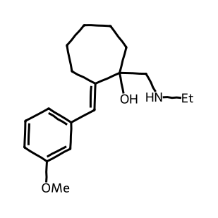 CCNCC1(O)CCCCCC1=Cc1cccc(OC)c1